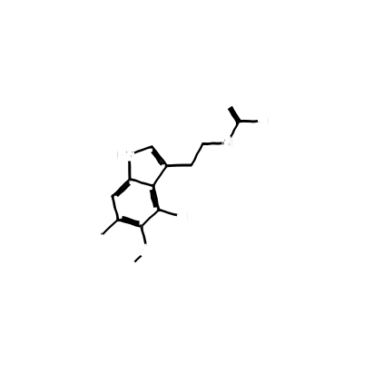 COc1c(Cl)cc2[nH]cc(CCNC(C)=O)c2c1Cl